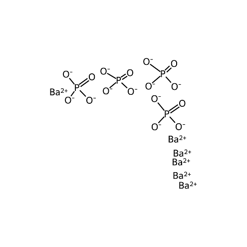 O=P([O-])([O-])[O-].O=P([O-])([O-])[O-].O=P([O-])([O-])[O-].O=P([O-])([O-])[O-].[Ba+2].[Ba+2].[Ba+2].[Ba+2].[Ba+2].[Ba+2]